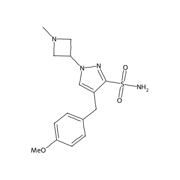 COc1ccc(Cc2cn(C3CN(C)C3)nc2S(N)(=O)=O)cc1